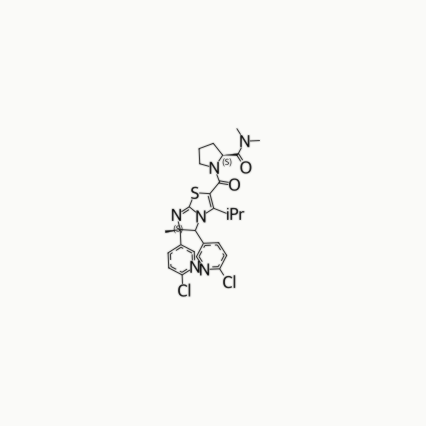 CC(C)C1=C(C(=O)N2CCC[C@H]2C(=O)N(C)C)SC2=N[C@@](C)(c3ccc(Cl)nc3)C(c3ccc(Cl)nc3)N21